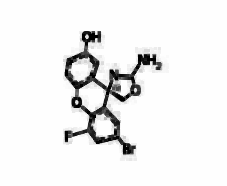 NC1=N[C@@]2(CO1)c1cc(O)ccc1Oc1c(F)cc(Br)cc12